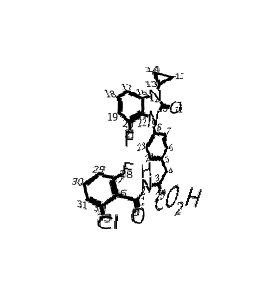 O=C(NC(Cc1ccc(-n2c(=O)n(C3CC3)c3cccc(F)c32)cc1)C(=O)O)c1c(F)cccc1Cl